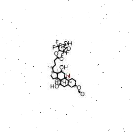 C[C@H](CCC(=O)OC(C(F)(F)F)C(F)(F)S(=O)(=O)O)[C@H]1CC[C@H]2[C@@H]3[C@H](O)CC4C[C@H](OC=O)CC[C@]4(C)[C@H]3C[C@H](O)[C@]12C